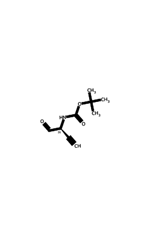 C#C[C@@H](C=O)NC(=O)OC(C)(C)C